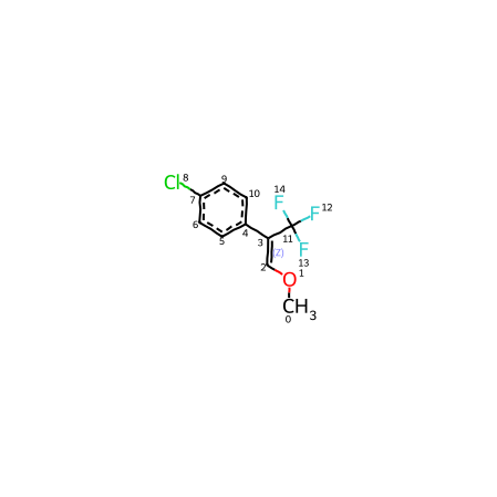 CO/C=C(/c1ccc(Cl)cc1)C(F)(F)F